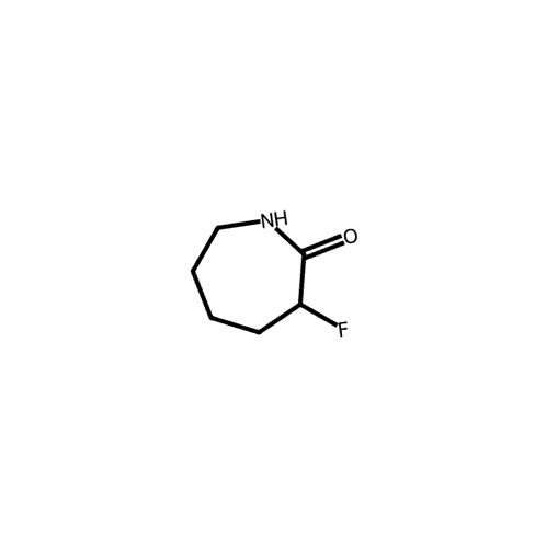 O=C1NCCCCC1F